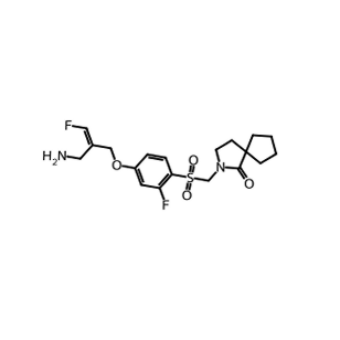 NC/C(=C\F)COc1ccc(S(=O)(=O)CN2CCC3(CCCC3)C2=O)c(F)c1